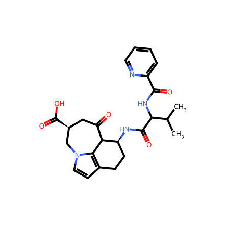 CC(C)C(NC(=O)c1ccccn1)C(=O)N[C@H]1CCc2ccn3c2C1C(=O)C[C@H](C(=O)O)C3